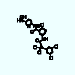 O=C(Nc1ccc(NO)cn1)c1cc(NC(=O)C2C(c3cc(Cl)cc(Cl)c3)C2(Cl)Cl)ccc1Cl